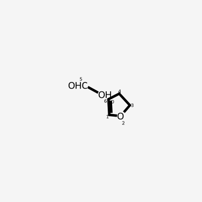 C1=COCC1.O=CO